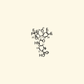 COc1c([C@H]2[C@H](C(=O)Nc3ccc(C(=O)O)nc3)O[C@@](C)(C(F)(F)F)[C@H]2C)ccc(F)c1F